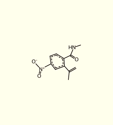 C=C(C)c1cc([N+](=O)[O-])ccc1C(=O)NC